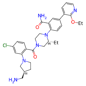 CCOc1ncccc1-c1ccc(N2CCN(C(=O)c3ccc(Cl)cc3N3CC[C@@H](CN)C3)C[C@H]2CC)c(C(N)=O)c1